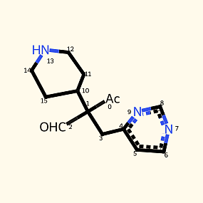 CC(=O)C(C=O)(Cc1ccncn1)C1CCNCC1